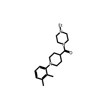 CCN1CCN(C(=O)C2CCN(c3cccc(C)c3C)CC2)CC1